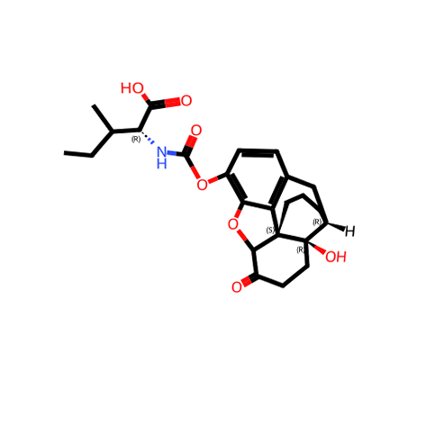 CCC(C)[C@@H](NC(=O)Oc1ccc2c3c1OC1C(=O)CC[C@@]4(O)[C@H](CCC[C@]314)C2)C(=O)O